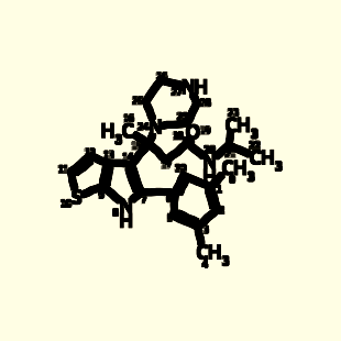 Cc1cc(C)cc(-c2[nH]c3sccc3c2C(C)(CC(=O)NC(C)C)N2CCNCC2)c1